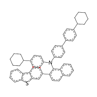 c1ccc2c(N(c3ccc(-c4ccc(C5CCCCC5)cc4)cc3)c3ccc(C4CCCCC4)cc3)c(-c3ccc4c(c3)sc3ccccc34)ccc2c1